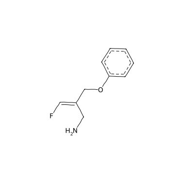 NC/C(=C\F)COc1ccccc1